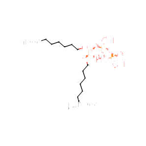 CCCCCCCCCCCCCCCCOP(=O)(OCCCCCCCCCCCCCCCC)OP(=O)(O)OP(=O)(O)O.[Fe]